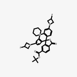 CC(C)(C)OC(=O)c1ccc2c(c1)C1(OC2=O)c2ccc(N3CC(F)C3)cc2[Si]2(CCCCC2)c2cc(N3CC(F)C3)ccc21